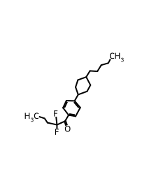 CCCCCC1CCC(c2ccc(C(=O)C(F)(F)CCC)cc2)CC1